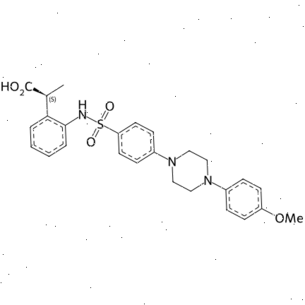 COc1ccc(N2CCN(c3ccc(S(=O)(=O)Nc4ccccc4[C@H](C)C(=O)O)cc3)CC2)cc1